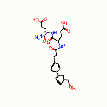 NC(=O)[C@H](CCC(=O)O)NC(=O)C(CCC(=O)O)NC(=O)CCc1ccc(-c2cccc(CO)c2)cc1